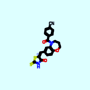 N#Cc1ccc(C(=O)N2CCCOc3ccc(/C=C4/SC(=S)NC4=O)cc32)cc1